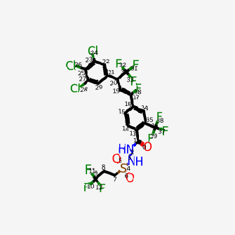 O=C(NNS(=O)(=O)CCC(F)(F)F)c1ccc(/C(F)=C/C(c2cc(Cl)c(Cl)c(Cl)c2)C(F)(F)F)cc1C(F)(F)F